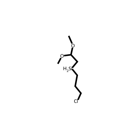 COC(C[SiH2]CCCCl)OC